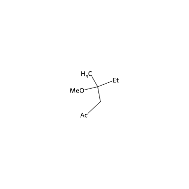 CCC(C)(CC(C)=O)OC